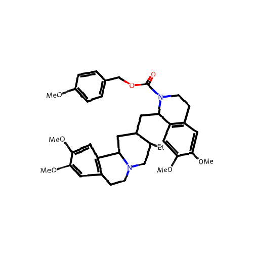 CCC1CN2CCc3cc(OC)c(OC)cc3C2CC1CC1c2cc(OC)c(OC)cc2CCN1C(=O)OCc1ccc(OC)cc1